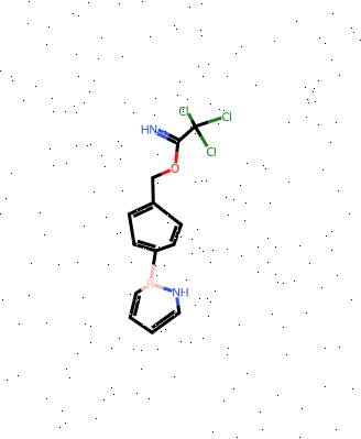 N=C(OCc1ccc(B2C=CC=CN2)cc1)C(Cl)(Cl)Cl